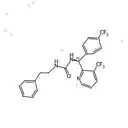 O=C(NCCc1ccccc1)N[C@@H](c1ccc(C(F)(F)F)cc1)c1ncccc1C(F)(F)F